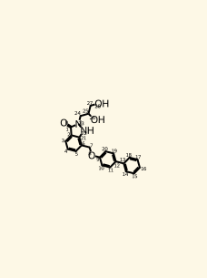 O=c1c2cccc(COc3ccc(-c4ccccc4)cc3)c2[nH]n1CC(O)CO